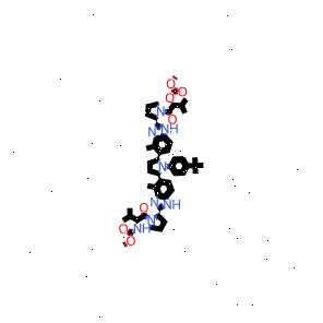 COC(=O)N[C@H](C(=O)N1CCC[C@H]1c1nc2c(C)c([C@H]3CC[C@@H](c4ccc5[nH]c([C@@H]6CCCN6C(=O)[C@@H](OC(=O)OC)C(C)C)nc5c4C)N3c3ccc(C(C)(C)C)cc3)ccc2[nH]1)C(C)C